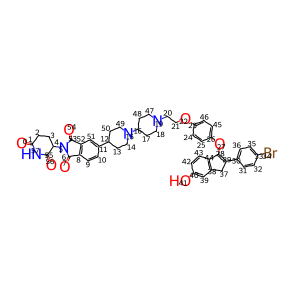 O=C1CCC(N2C(=O)c3ccc(C4CCN(C5CCN(CCOc6ccc(OC7=C(c8ccc(Br)cc8)Cc8cc(O)ccc87)cc6)CC5)CC4)cc3C2=O)C(=O)N1